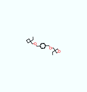 CCC1(COCc2ccc(COCC3(CC)COC3)cc2)CCC1